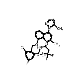 Cc1cc(-n2ncnc2C)c2cccc(OCc3c(Cl)cc(F)cc3[C@H](C)NC(=O)CC(F)(F)F)c2n1